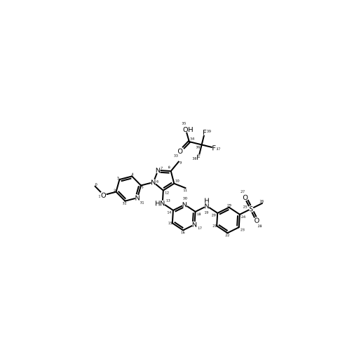 COc1ccc(-n2nc(C)c(C)c2Nc2ccnc(Nc3cccc(S(C)(=O)=O)c3)n2)nc1.O=C(O)C(F)(F)F